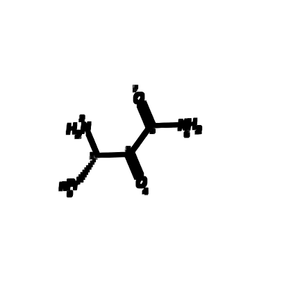 CCC[C@H](N)C(=O)C(N)=O